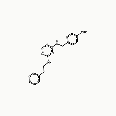 O=Cc1ccc(CNc2ncnc(NCCc3ccccc3)n2)cc1